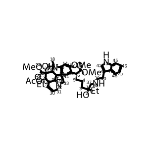 CCC(O)(CCC[C@H](C(=O)OC)c1cc2c(cc1OC)N(C)[C@H]1[C@@](O)(C(=O)OC)[C@H](OC(C)=O)[C@]3(CC)C=CCN4CC[C@]21[C@@H]43)CNCCc1c[nH]c2ccccc12